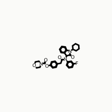 O=C(Oc1ccc(CC(=O)N(c2cccc(F)c2)C2C(=O)N(C3CCCCC3)c3ccccc32)cc1)N1CCOCC1